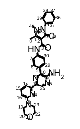 Cc1c(C(=O)Nc2ccc(-c3nc(-c4cccc(N5CCOCC5)n4)cnc3N)cc2)c(=O)n(-c2ccccc2)n1C